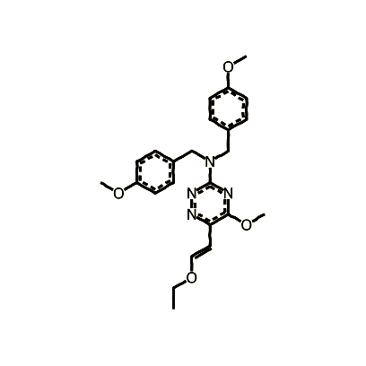 CCO/C=C/c1nnc(N(Cc2ccc(OC)cc2)Cc2ccc(OC)cc2)nc1OC